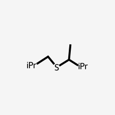 CC(C)CSC(C)C(C)C